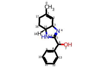 CC1=CC2N=C(C(O)c3ccccc3)N[C@@H]2CC1